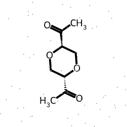 CC(=O)[C@@H]1CO[C@@H](C(C)=O)CO1